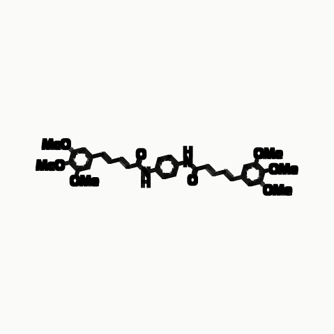 COc1cc(/C=C/C=C/C(=O)Nc2ccc(NC(=O)/C=C/C=C/c3cc(OC)c(OC)c(OC)c3)cc2)cc(OC)c1OC